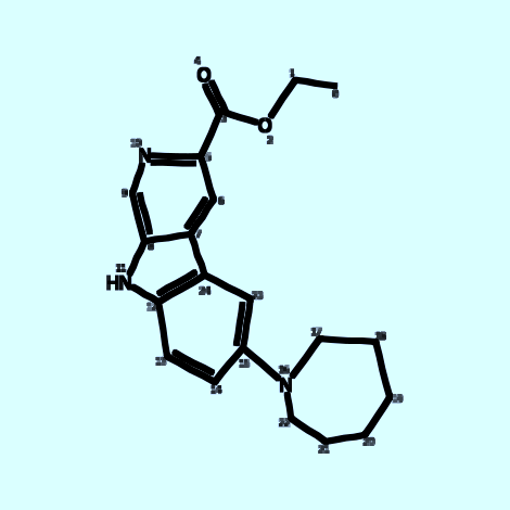 CCOC(=O)c1cc2c(cn1)[nH]c1ccc(N3CCCCCC3)cc12